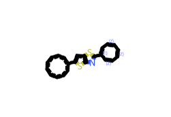 C1=C\C=C/C(c2nc3sc(-c4ccccccccc4)cc3s2)=C\C=C/1